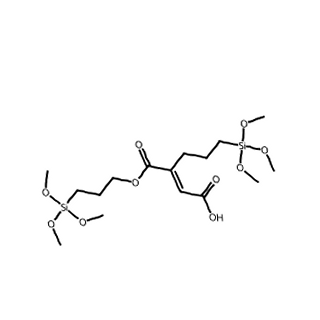 CO[Si](CCCOC(=O)C(=CC(=O)O)CCC[Si](OC)(OC)OC)(OC)OC